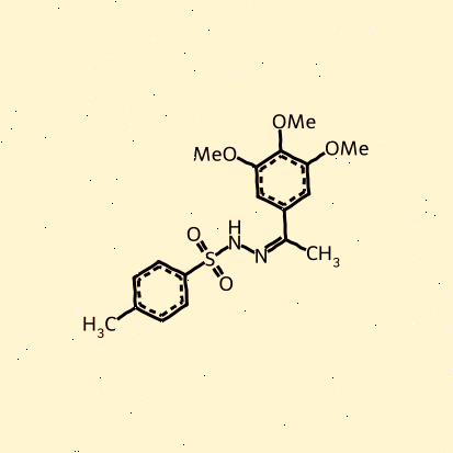 COc1cc(/C(C)=N\NS(=O)(=O)c2ccc(C)cc2)cc(OC)c1OC